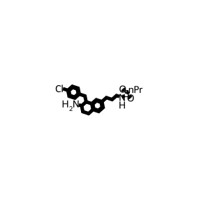 CCCS(=O)(=O)NCCCc1ccc2c(c1)C(Cc1ccc(Cl)cc1)C(N)CC2